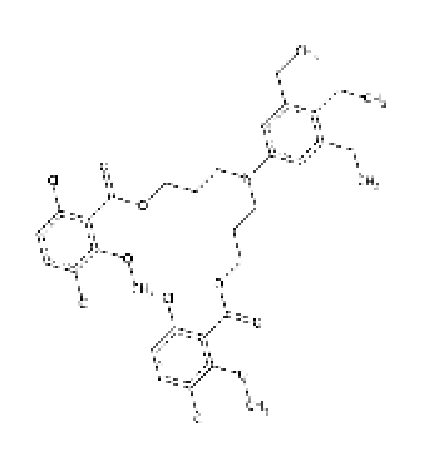 CCc1cc(N(CCCOC(=O)c2c(Cl)ccc(Cl)c2OC)CCCOC(=O)c2c(Cl)ccc(Cl)c2OC)cc(CC)c1CC